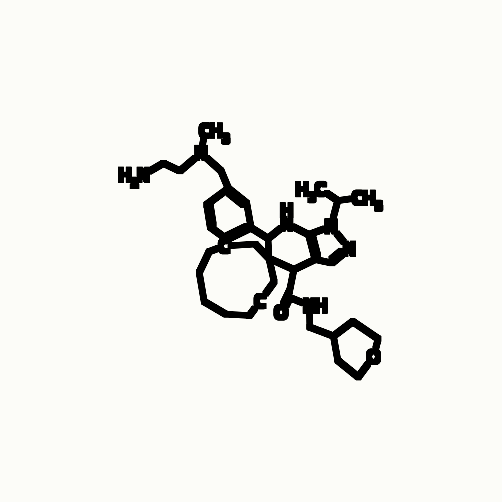 CC(C)n1ncc2c1NC(c1cccc(CN(C)CCN)c1)C1(CCCCCCCCC1)C2C(=O)NCC1CCOCC1